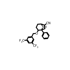 N#CC1CC2(c3ccccc3)NC1CCC2OCc1cc(C(F)(F)F)cc(C(F)(F)F)c1